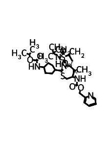 C=C(C[C@H]1N=C(C2CCC(NC(=O)OC(C)C)CC2)SCC(NC(=O)OCc2ccccn2)[C@H]1C)S(=O)(=O)NC(C)(C)C